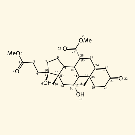 COC(=O)CC[C@]1(O)CCC2C3C([C@H](O)C[C@@]21C)[C@@]1(C)CCC(=O)C=C1C[C@H]3C(=O)OC